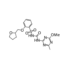 COc1nc(C)nc(NC(=O)NS(=O)(=O)c2ccccc2OCC2CCCO2)n1